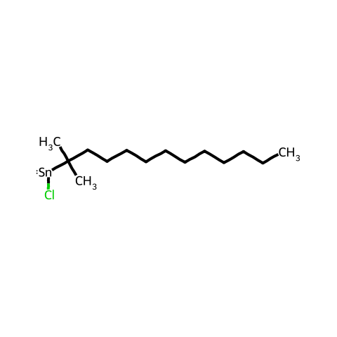 CCCCCCCCCCC[C](C)(C)[Sn][Cl]